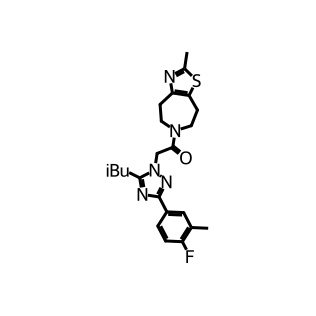 CCC(C)c1nc(-c2ccc(F)c(C)c2)nn1CC(=O)N1CCc2nc(C)sc2CC1